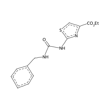 CCOC(=O)c1csc(NC(=O)NCc2ccccc2)n1